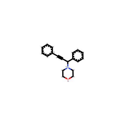 C(#CC(c1ccccc1)N1CCOCC1)c1ccccc1